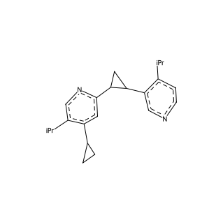 CC(C)c1cnc(C2CC2c2cnccc2C(C)C)cc1C1CC1